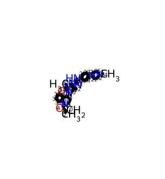 C=C(C)C(=O)N1CC[C@H](N2Cc3cnc(Nc4ccc(N5CCN(C)CC5)cc4)nc3N(C)C2=O)c2ccccc21